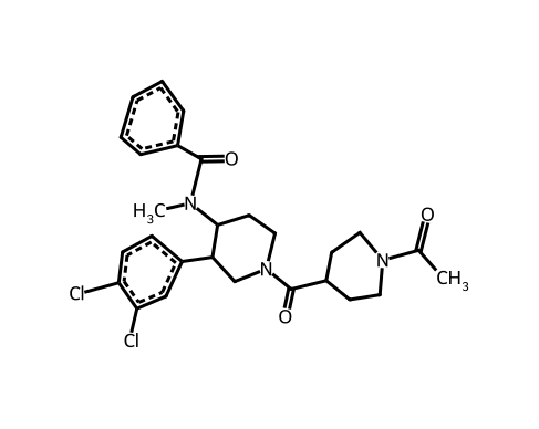 CC(=O)N1CCC(C(=O)N2CCC(N(C)C(=O)c3ccccc3)C(c3ccc(Cl)c(Cl)c3)C2)CC1